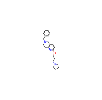 c1ccc(CN2CCc3nc(OCCCN4CCCC4)ccc3C2)cc1